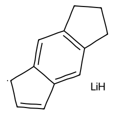 [CH]1C=Cc2cc3c(cc21)CCC3.[LiH]